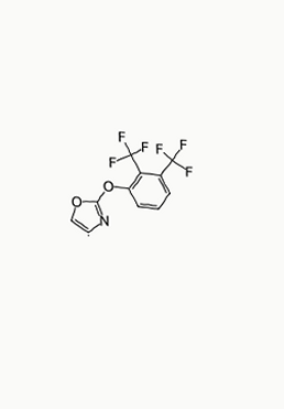 FC(F)(F)c1cccc(Oc2n[c]co2)c1C(F)(F)F